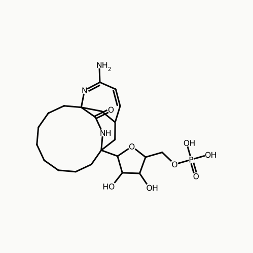 NC1=NC23CCCCCCCCC(C4OC(COP(=O)(O)O)C(O)C4O)(CC(C=C1)C2)NC3=O